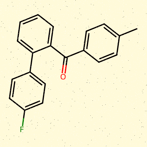 Cc1ccc(C(=O)c2ccccc2-c2ccc(F)cc2)cc1